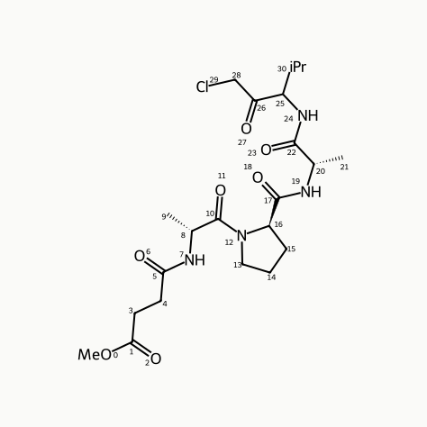 COC(=O)CCC(=O)N[C@H](C)C(=O)N1CCC[C@@H]1C(=O)N[C@@H](C)C(=O)NC(C(=O)CCl)C(C)C